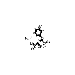 CCN(CC)C(=S)SC(=Nc1cccc(C(C)=O)c1)N(CC)CC.Cl